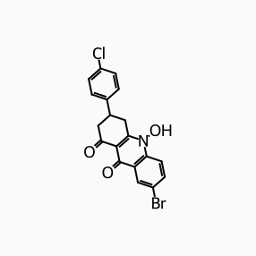 O=C1CC(c2ccc(Cl)cc2)Cc2c1c(=O)c1cc(Br)ccc1n2O